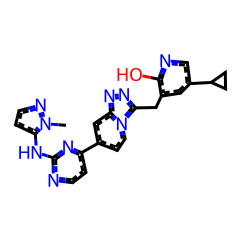 Cn1nccc1Nc1nccc(-c2ccn3c(Cc4cc(C5CC5)cnc4O)nnc3c2)n1